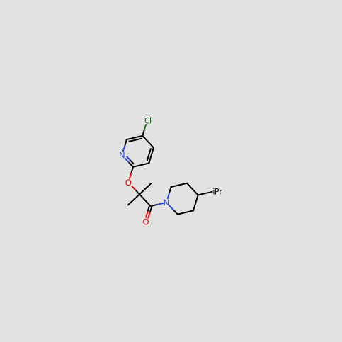 CC(C)C1CCN(C(=O)C(C)(C)Oc2ccc(Cl)cn2)CC1